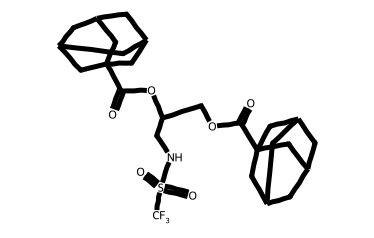 O=C(OCC(CNS(=O)(=O)C(F)(F)F)OC(=O)C12CC3CC(CC(C3)C1)C2)C12CC3CC(CC(C3)C1)C2